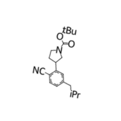 CC(C)Cc1ccc(C#N)c(C2CCN(C(=O)OC(C)(C)C)C2)c1